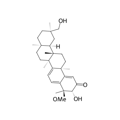 CO[C@@]1(C)C2=CC=C3[C@@](C)(CC[C@@]4(C)[C@@H]5C[C@](C)(CO)CC[C@]5(C)CC[C@]34C)C2=CC(=O)[C@@H]1O